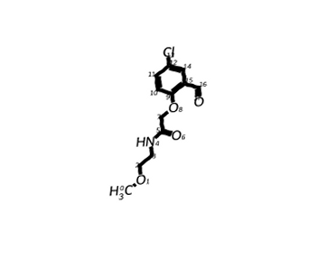 COCCNC(=O)COc1ccc(Cl)cc1C=O